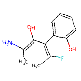 C/C(N)=C(O)\C(=C(/C)F)c1ccccc1O